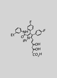 CCc1cccc(NC(=O)c2c(-c3ccc(F)cc3)c(-c3ccc(F)cc3)c(C=C[C@@H](O)C[C@@H](O)CC(=O)O)n2C(C)C)c1